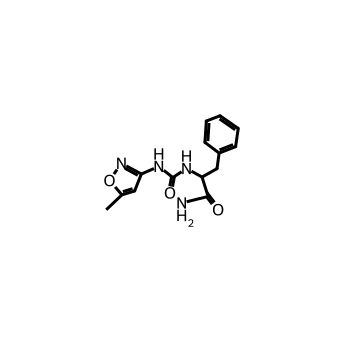 Cc1cc(NC(=O)NC(Cc2ccccc2)C(N)=O)no1